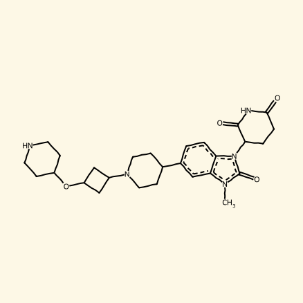 Cn1c(=O)n(C2CCC(=O)NC2=O)c2ccc(C3CCN(C4CC(OC5CCNCC5)C4)CC3)cc21